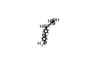 COc1ccc2oc(-c3ccc([C@H](O)CCCCC(=O)NO)cc3)cc2c1